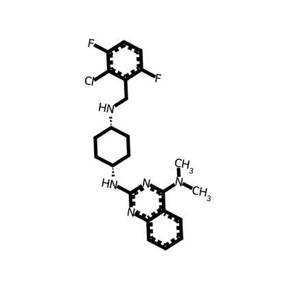 CN(C)c1nc(N[C@H]2CC[C@@H](NCc3c(F)ccc(F)c3Cl)CC2)nc2ccccc12